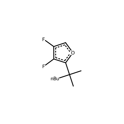 CCCCC(C)(C)c1occ(F)c1F